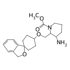 COC(=O)N1CCCC(N)C1COC1CCC2(CC1)OCc1ccccc12